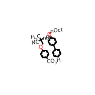 CCCCC(C)(C#N)COc1ccc(C(=O)O)cc1.CCCCCCCCOc1ccc(-c2ccccc2)cc1